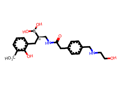 O=C(Cc1ccc(CNCCO)cc1)NC[C@@H](Cc1cccc(C(=O)O)c1O)B(O)O